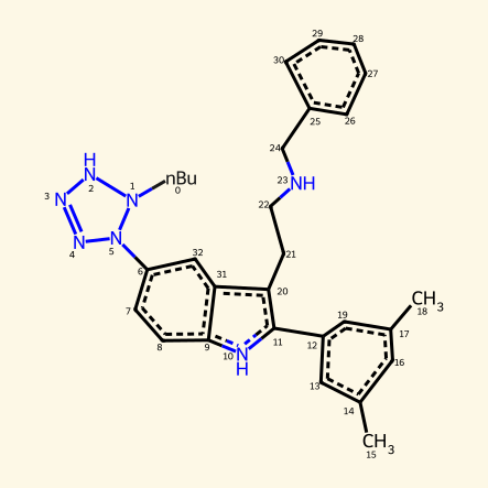 CCCCN1NN=NN1c1ccc2[nH]c(-c3cc(C)cc(C)c3)c(CCNCc3ccccc3)c2c1